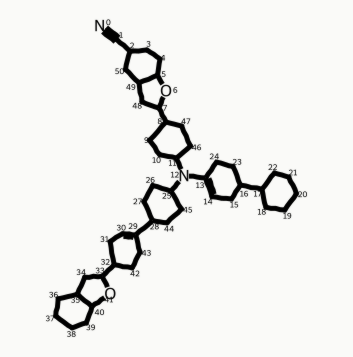 N#CC1CCC2OC(C3CCC(N(C4=CCC(C5CCCCC5)CC4)C4CCC(C5=CCC(C6CC7CCCCC7O6)CC5)CC4)CC3)CC2C1